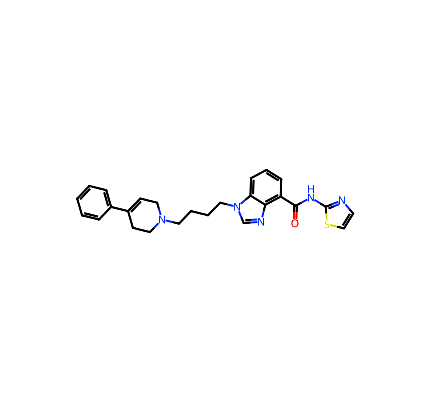 O=C(Nc1nccs1)c1cccc2c1ncn2CCCCN1CC=C(c2ccccc2)CC1